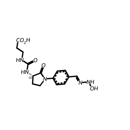 O=C(O)CCNC(=O)N[C@H]1CCN(c2ccc(C=NNO)cc2)C1=O